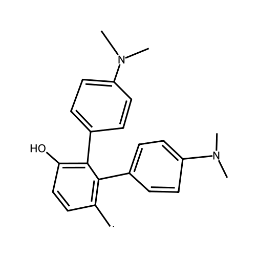 [CH2]c1ccc(O)c(-c2ccc(N(C)C)cc2)c1-c1ccc(N(C)C)cc1